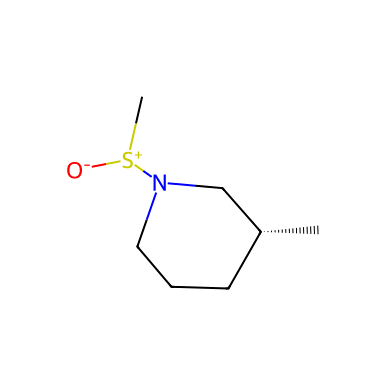 C[C@@H]1CCCN([S+](C)[O-])C1